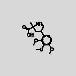 CCC(CC(C)(N)C(=O)O)c1ccc(OC)c(OC)c1OC